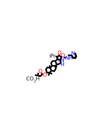 CC(C)C1=C2C3CCC4C5(C)CC[C@H](OC(=O)CC(C)(C)C(=O)O)C(C)(C)C5CCC4(C)[C@]3(C)CC[C@@]2(NC(=O)NCc2ccccn2)CC1=O